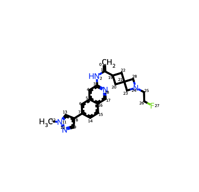 C=C(Nc1cc2cc(-c3cnn(C)c3)ccc2cn1)C1CC2(C1)CN(CCF)C2